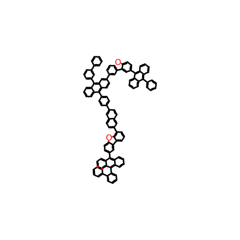 c1ccc(-c2cccc(-c3c4ccccc4c(-c4ccc(-c5ccc6cc(-c7cccc8c7oc7ccc(-c9c%10ccccc%10c(-c%10ccccc%10-c%10ccccc%10)c%10ccccc9%10)cc78)ccc6c5)cc4)c4ccc(-c5ccc6oc7ccc(-c8c9ccccc9c(-c9ccccc9)c9ccccc89)cc7c6c5)cc34)c2)cc1